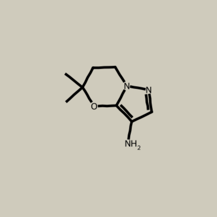 CC1(C)CCn2ncc(N)c2O1